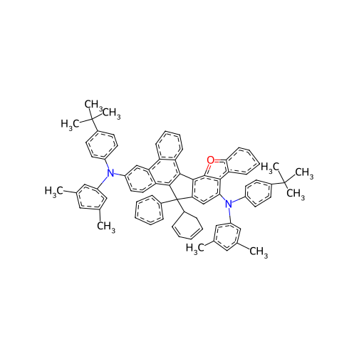 Cc1cc(C)cc(N(c2ccc(C(C)(C)C)cc2)c2ccc3c4c(c5ccccc5c3c2)-c2c(cc(N(c3ccc(C(C)(C)C)cc3)c3cc(C)cc(C)c3)c3c2oc2ccccc23)C4(c2ccccc2)C2C=CC=CC2)c1